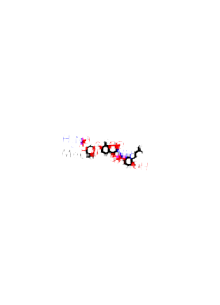 CO[C@@H]1[C@@H](OC(N)=O)C[C@H](Oc2ccc3c(O)c(NC(=O)c4ccc(O)c(CC=C(C)C)c4)c(=O)oc3c2C)OC1(C)C